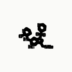 CNCc1cn(S(=O)(=O)c2cccnc2)c2cc(Nc3cccnc3Cl)ccc12.Cl